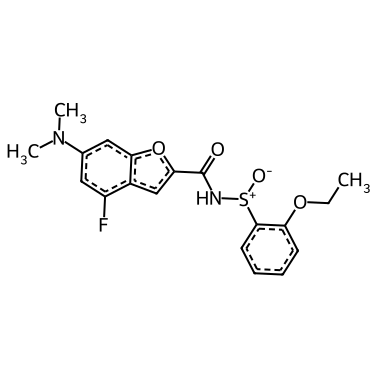 CCOc1ccccc1[S+]([O-])NC(=O)c1cc2c(F)cc(N(C)C)cc2o1